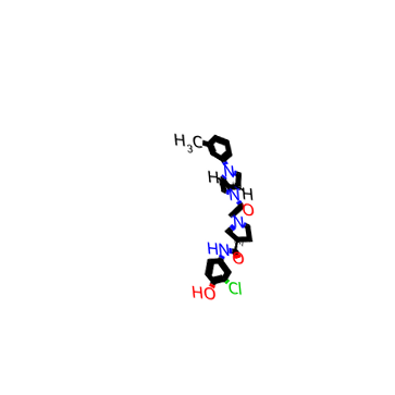 Cc1cccc(N2C[C@@H]3C[C@H]2CN3C(=O)CN2CC[C@@H](C(=O)Nc3ccc(O)c(Cl)c3)C2)c1